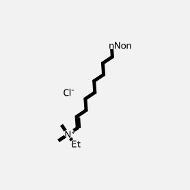 CCCCCCCCCCCCCCCCC=C[N+](C)(C)CC.[Cl-]